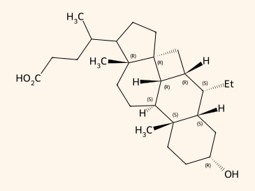 CC[C@H]1[C@H]2C[C@@]34CCC(C(C)CCC(=O)O)[C@@]3(C)CC[C@@H]([C@@H]24)[C@@]2(C)CC[C@@H](O)C[C@@H]12